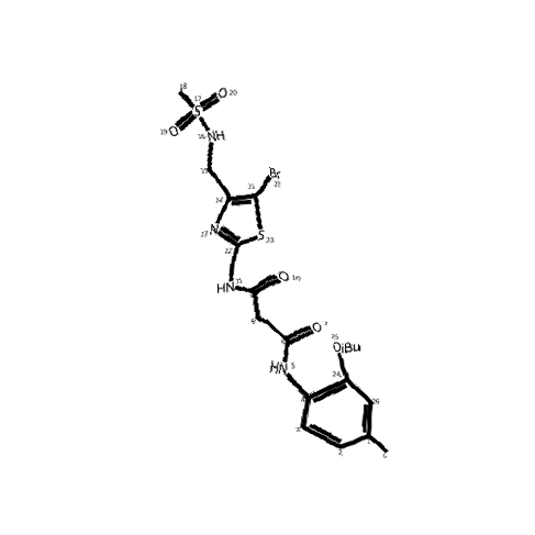 Cc1ccc(NC(=O)CC(=O)Nc2nc(CNS(C)(=O)=O)c(Br)s2)c(OCC(C)C)c1